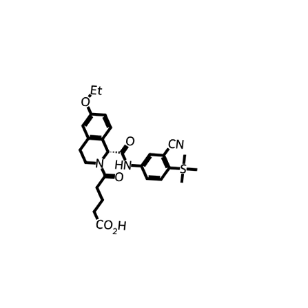 CCOc1ccc2c(c1)CCN(C(=O)CCCC(=O)O)[C@H]2C(=O)Nc1ccc(S(C)(C)C)c(C#N)c1